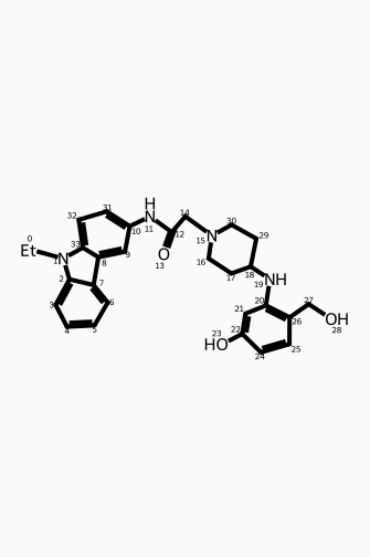 CCn1c2ccccc2c2cc(NC(=O)CN3CCC(Nc4cc(O)ccc4CO)CC3)ccc21